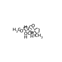 CCC(C)(Pc1c(C)cccc1C=O)C1CC=CC(OC)=C1O